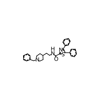 O=C(NCCC1CCN(Cc2ccccc2)CC1)c1nc(-c2ccccc2)c(-c2ccccc2)s1